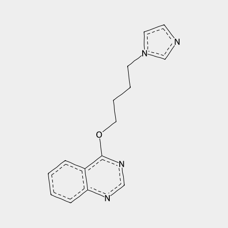 c1ccc2c(OCCCCn3ccnc3)ncnc2c1